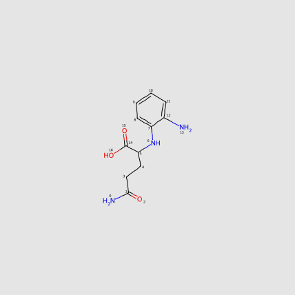 NC(=O)CCC(Nc1ccccc1N)C(=O)O